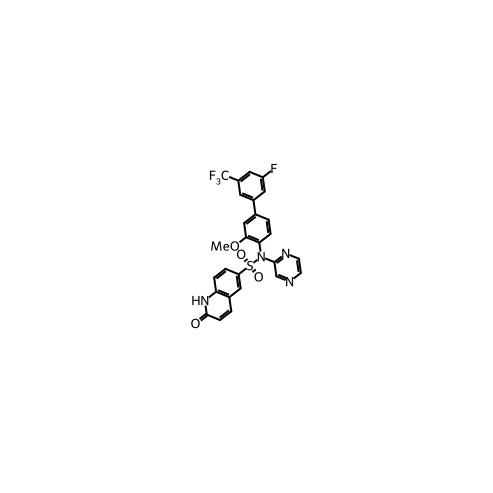 COc1cc(-c2cc(F)cc(C(F)(F)F)c2)ccc1N(c1cnccn1)S(=O)(=O)c1ccc2[nH]c(=O)ccc2c1